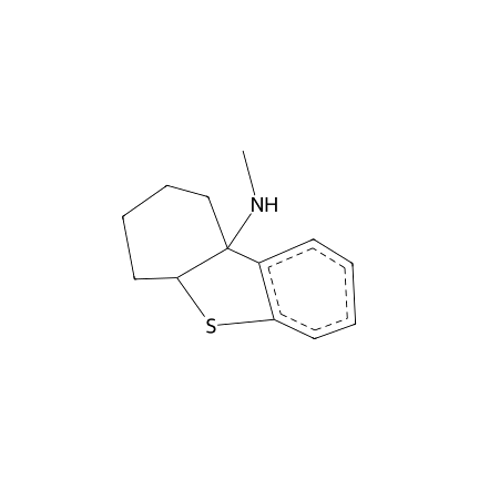 CNC12CCCCC1Sc1ccccc12